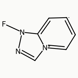 Fn1nc[n+]2cc[c]cc12